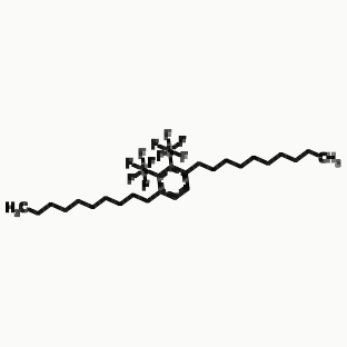 CCCCCCCCCCc1ccc(CCCCCCCCCC)c(S(F)(F)(F)(F)F)c1S(F)(F)(F)(F)F